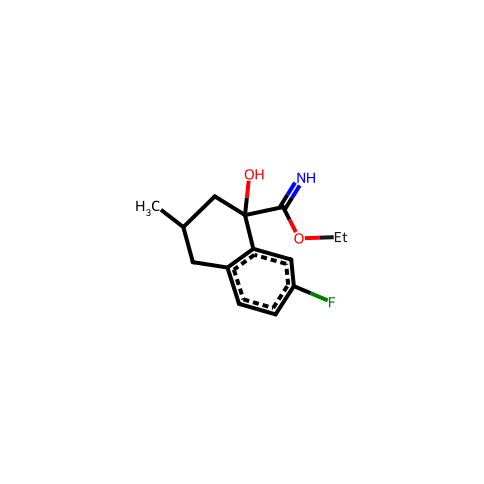 CCOC(=N)C1(O)CC(C)Cc2ccc(F)cc21